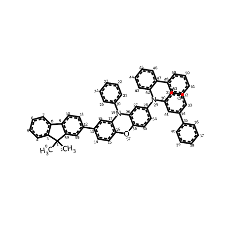 CC1(C)c2ccccc2-c2ccc(-c3ccc4c(c3)N(c3ccccc3)c3cc(N(c5cccc(-c6ccccc6)c5)c5ccccc5-c5ccccc5)ccc3O4)cc21